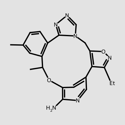 CCc1noc2c1-c1cnc(N)c(c1)OC(C)c1cc(C)ccc1-c1nncn1C2